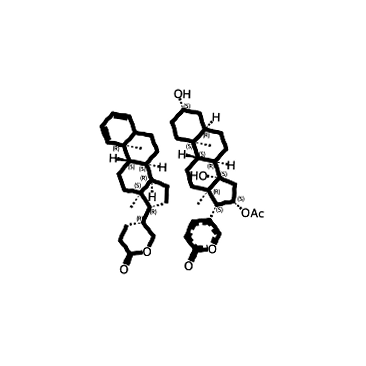 CC(=O)O[C@H]1C[C@]2(O)[C@@H]3CC[C@@H]4C[C@@H](O)CC[C@]4(C)[C@H]3CC[C@]2(C)[C@H]1c1ccc(=O)oc1.C[C@]12CC[C@H]3[C@@H](CCC4C=CC=C[C@@]43C)[C@H]1CC[C@@H]2[C@H]1CCC(=O)OC1